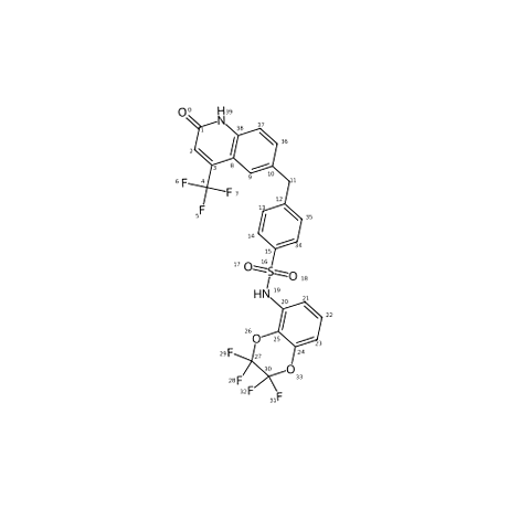 O=c1cc(C(F)(F)F)c2cc(Cc3ccc(S(=O)(=O)Nc4cccc5c4OC(F)(F)C(F)(F)O5)cc3)ccc2[nH]1